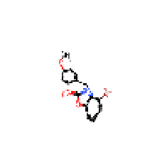 COc1ccc(Cn2c(=O)oc3cccc(Br)c32)cc1